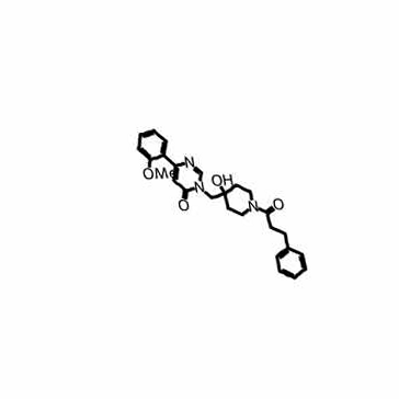 COc1ccccc1-c1cc(=O)n(CC2(O)CCN(C(=O)CCc3ccccc3)CC2)cn1